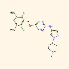 COc1cc(OC)c(Cl)c(COc2cnc(Nc3cnn(C4CCN(C)CC4)c3)nc2)c1Cl